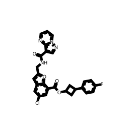 O=C(OC1CC(c2ccc(F)cc2)C1)c1cc(Cl)cc2cc(CNC(=O)c3cnn4cccnc34)oc12